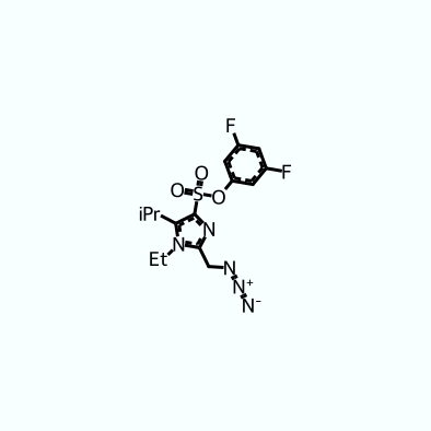 CCn1c(CN=[N+]=[N-])nc(S(=O)(=O)Oc2cc(F)cc(F)c2)c1C(C)C